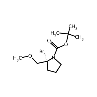 COC[C@]1(Br)CCCN1C(=O)OC(C)(C)C